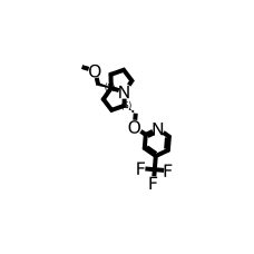 COC[C@@]12CCCN1[C@H](COc1cc(C(F)(F)F)ccn1)CC2